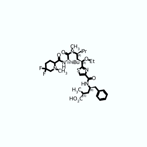 CCO[C@H](C[C@H](C(C)C)N(C)C(=O)[C@@H](NC(=O)C1CCC(F)(F)CN1C)[C@@H](C)CC)c1nc(C(=O)N[C@@H](Cc2ccccc2)C[C@H](C)C(=O)O)cs1